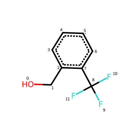 OCc1cc[c]cc1C(F)(F)F